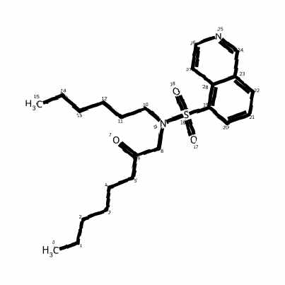 CCCCCCC(=O)CN(CCCCCC)S(=O)(=O)c1cccc2cnccc12